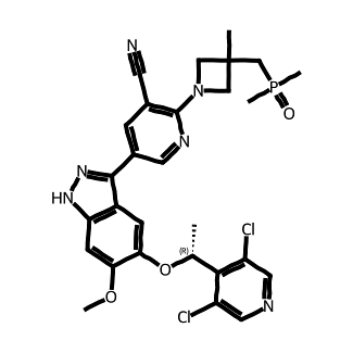 COc1cc2[nH]nc(-c3cnc(N4CC(C)(CP(C)(C)=O)C4)c(C#N)c3)c2cc1O[C@H](C)c1c(Cl)cncc1Cl